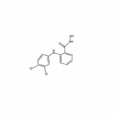 O=C(NO)c1ccccc1Nc1ccc(Cl)c(Cl)c1